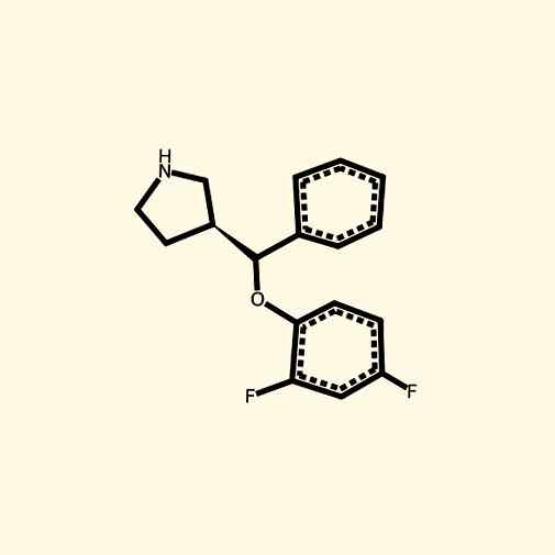 Fc1ccc(OC(c2ccccc2)[C@H]2CCNC2)c(F)c1